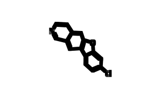 Clc1ccc2c(c1)oc1cc3ccncc3cc12